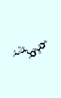 N/C(COCC(F)F)=N/CC1CC(NC(=O)c2ccc(Br)cn2)=CC=C1F